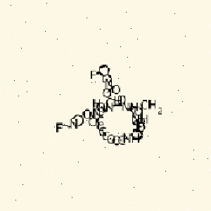 C=C[C@@H]1C[C@@]12NC(=O)[C@@H]1C[C@@H](OC(=O)N3Cc4cccc(F)c4C3)CN1C(=O)[C@@H](NC(=O)OC1CCN(CCF)CC1)CCCCCCCNc1ccccc1S(=O)(=O)NC2=O